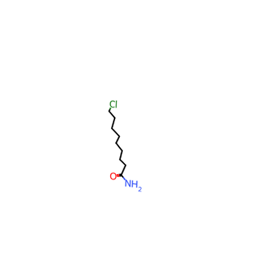 NC(=O)CCCCCCCCCl